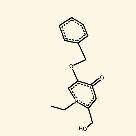 CCn1cc(OCc2ccccc2)c(=O)cc1CO